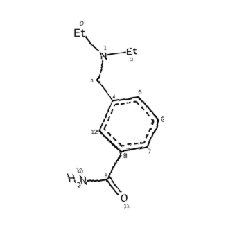 CCN(CC)Cc1cccc(C(N)=O)c1